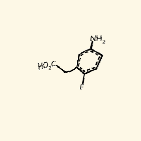 Nc1ccc(F)c(CC(=O)O)c1